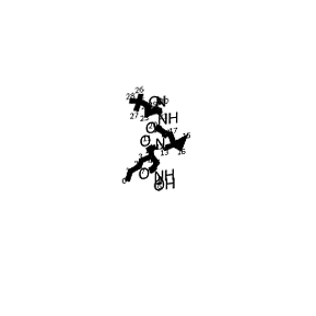 CCCCC(CC(=O)NO)C(=O)N1CC2(CC2)CC1C(=O)Nc1cc(C(C)(C)C)on1